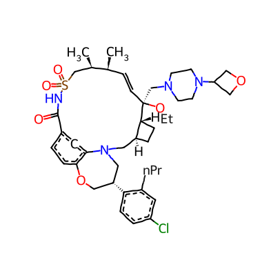 CCCc1cc(Cl)ccc1[C@@H]1COc2ccc3cc2N(C1)C[C@@H]1CC[C@H]1[C@](CN1CCN(C2COC2)CC1)(OCC)/C=C/[C@H](C)[C@H](C)CS(=O)(=O)NC3=O